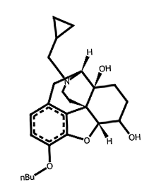 CCCCOc1ccc2c3c1O[C@H]1C(O)CC[C@@]4(O)[C@@H](C2)N(CC2CC2)CC[C@]314